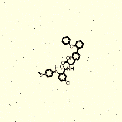 CSc1ccc(Nc2ccc(Cl)cc2C(=O)NC(Cc2ccc(-c3ccccc3Oc3ccccc3)cc2)C(=O)O)cc1